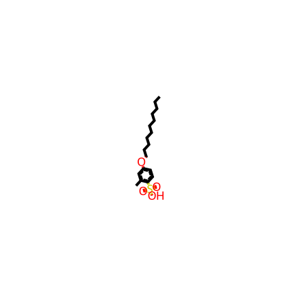 CCCCCCCCCCCOc1ccc(S(=O)(=O)O)c(C)c1